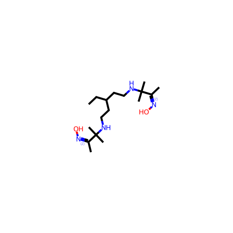 CCC(CCNC(C)(C)/C(C)=N\O)CCNC(C)(C)/C(C)=N\O